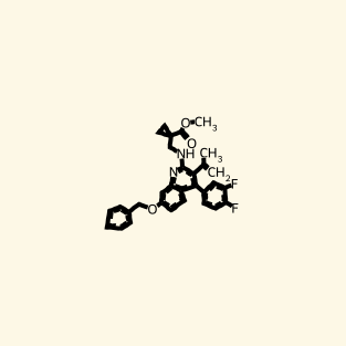 C=C(C)c1c(NCC2(C(=O)OC)CC2)nc2cc(OCc3ccccc3)ccc2c1-c1ccc(F)c(F)c1